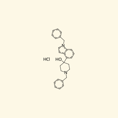 Cl.OC1(c2cccc3c2ccn3Cc2ccccc2)CCN(Cc2ccccc2)CC1